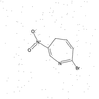 O=[N+]([O-])C1=CN=C(Br)C=CC1